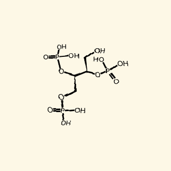 O=P(O)(O)OC[C@@H](OP(=O)(O)O)[C@@H](CO)OP(=O)(O)O